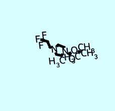 CC1CN(CCC(F)(F)F)CCN1C(=O)OC(C)(C)C